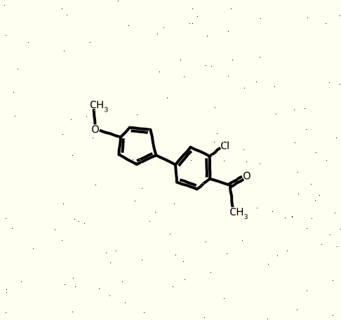 COc1ccc(-c2ccc(C(C)=O)c(Cl)c2)cc1